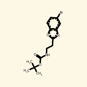 CC(C)(C)OC(=O)NCCc1nc2cc(Br)ccc2o1